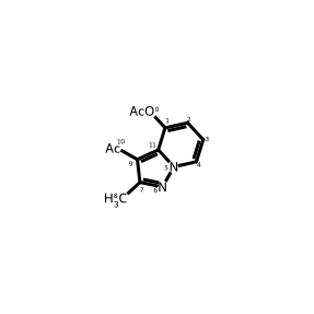 CC(=O)Oc1cccn2nc(C)c(C(C)=O)c12